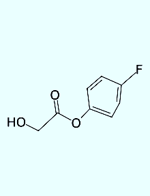 O=C(CO)Oc1ccc(F)cc1